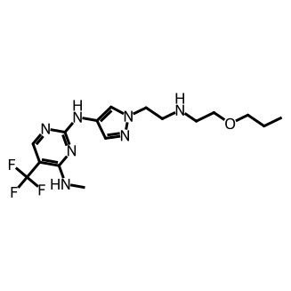 CCCOCCNCCn1cc(Nc2ncc(C(F)(F)F)c(NC)n2)cn1